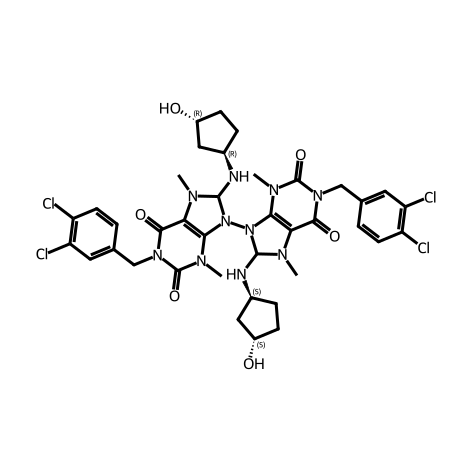 CN1c2c(n(C)c(=O)n(Cc3ccc(Cl)c(Cl)c3)c2=O)N(N2c3c(c(=O)n(Cc4ccc(Cl)c(Cl)c4)c(=O)n3C)N(C)C2N[C@H]2CC[C@H](O)C2)C1N[C@@H]1CC[C@@H](O)C1